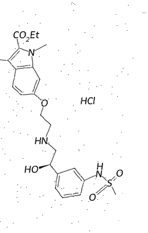 CCOC(=O)c1c(C)c2ccc(OCCNC[C@H](O)c3cccc(NS(C)(=O)=O)c3)cc2n1C.Cl